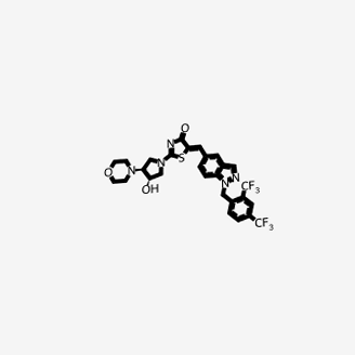 O=C1N=C(N2C[C@H](O)[C@@H](N3CCOCC3)C2)S/C1=C\c1ccc2c(cnn2Cc2ccc(C(F)(F)F)cc2C(F)(F)F)c1